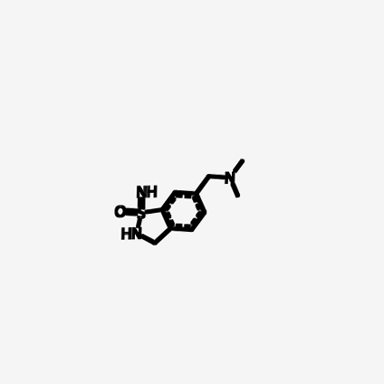 CN(C)Cc1ccc2c(c1)S(=N)(=O)NC2